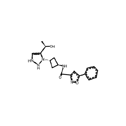 C[C@@H](O)C1=CNNN1[C@H]1C[C@H](NC(=O)c2cc(-c3ccccc3)on2)C1